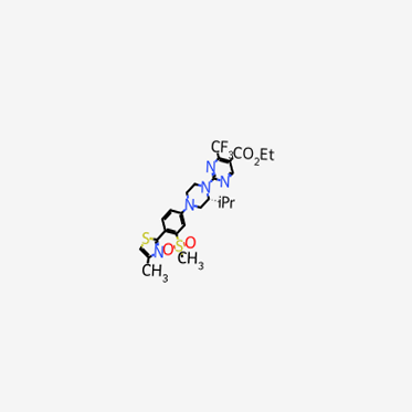 CCOC(=O)c1cnc(N2CCN(c3ccc(-c4nc(C)cs4)c(S(C)(=O)=O)c3)C[C@H]2C(C)C)nc1C(F)(F)F